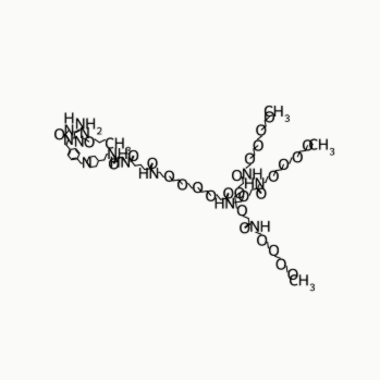 CCCCOc1nc(N)c2[nH]c(=O)n(Cc3ccc(CN4CCC(CCNC(=O)CNC(=O)CCCC(=O)NCCOCCOCCOCCOCCC(=O)NC(COCCC(=O)NCCOCCOCCOCCOC)(COCCC(=O)NCCOCCOCCOCCOC)COCCC(=O)NCCOCCOCCOCCOC)CC4)cc3)c2n1